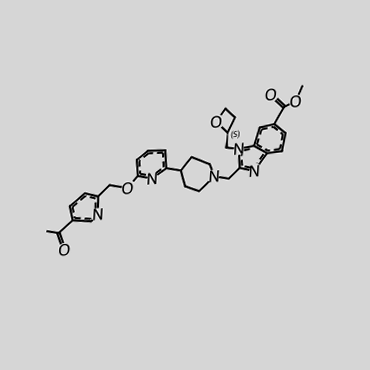 COC(=O)c1ccc2nc(CN3CCC(c4cccc(OCc5ccc(C(C)=O)cn5)n4)CC3)n(C[C@@H]3CCO3)c2c1